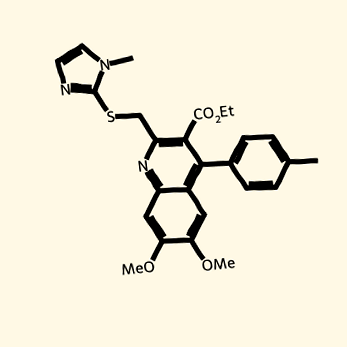 CCOC(=O)c1c(CSc2nccn2C)nc2cc(OC)c(OC)cc2c1-c1ccc(C)cc1